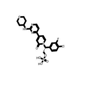 O=c1cc(-c2ccnc(NC3CCOCC3)n2)ccn1[C@@H](COP(=O)(O)O)c1ccc(Cl)c(F)c1